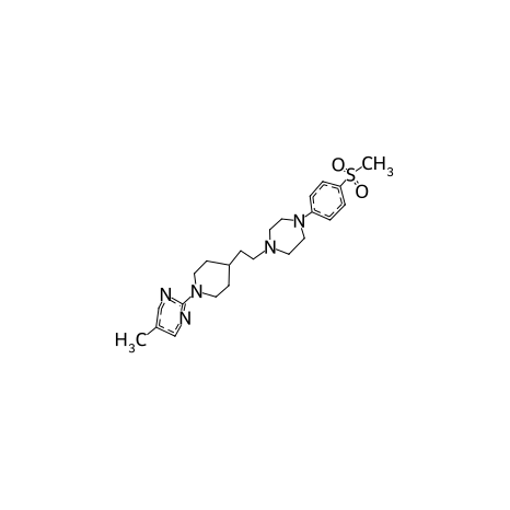 Cc1cnc(N2CCC(CCN3CCN(c4ccc(S(C)(=O)=O)cc4)CC3)CC2)nc1